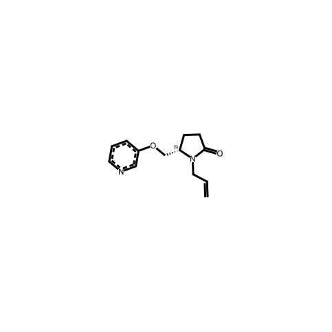 C=CCN1C(=O)CC[C@H]1COc1cccnc1